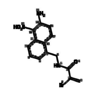 C=C(Br)C(=O)NCc1cccc2c(S(=O)(=O)O)c(N)ccc12